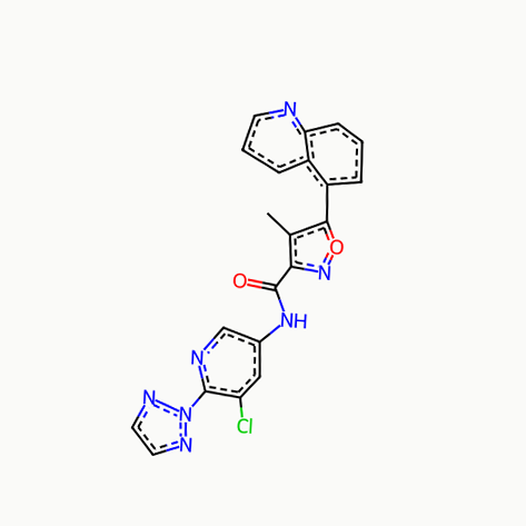 Cc1c(C(=O)Nc2cnc(-n3nccn3)c(Cl)c2)noc1-c1cccc2ncccc12